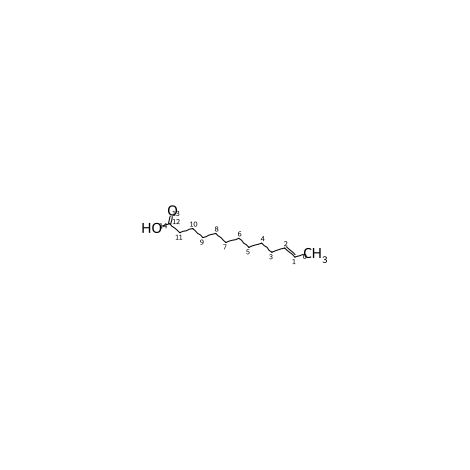 C/C=C/CCCCCCCCCC(=O)O